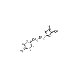 O=c1[nH]cc(CSCOc2ccc(F)cc2)o1